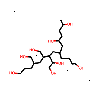 CC(O)CCC(O)CC(CCCCO)CC([C](CO)CC(CO)CCCO)C(O)CO